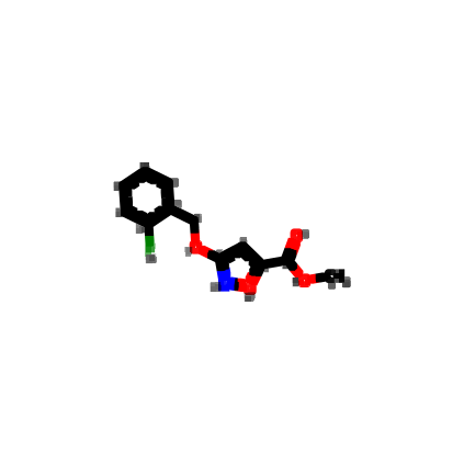 COC(=O)c1cc(OCc2ccccc2F)no1